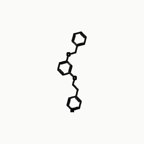 c1ccc(COc2cccc(OCCc3ccncc3)c2)cc1